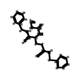 CCCCO[PH](=O)N[C@@H](CCC(=O)OCc1ccccc1)C(=O)OCc1ccccc1